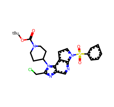 CC(C)(C)OC(=O)N1CCC(n2c(CCl)nc3cnc4c(ccn4S(=O)(=O)c4ccccc4)c32)CC1